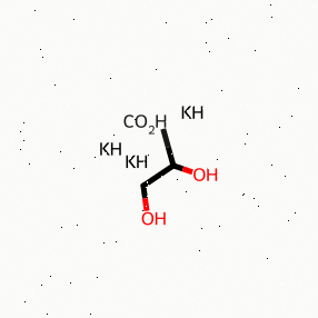 O=C(O)C(O)CO.[KH].[KH].[KH]